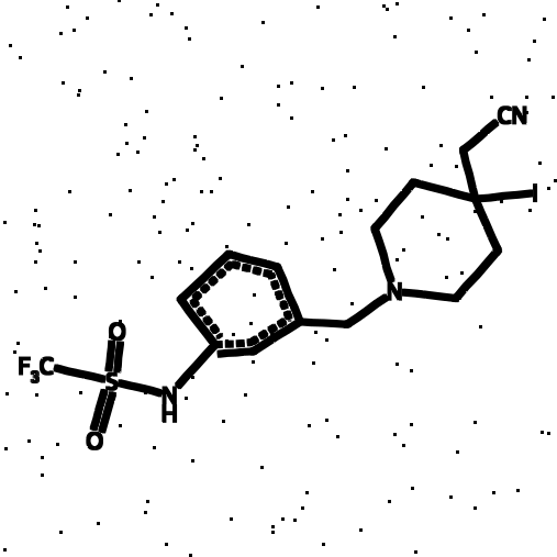 N#CCC1(I)CCN(Cc2cccc(NS(=O)(=O)C(F)(F)F)c2)CC1